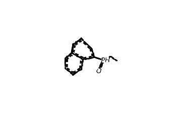 CC[PH](=O)c1cccc2ccccc12